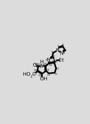 CCn1c(Cn2cccn2)nc2c1CCCc1c-2[nH]c(=O)c(C(=O)O)c1O